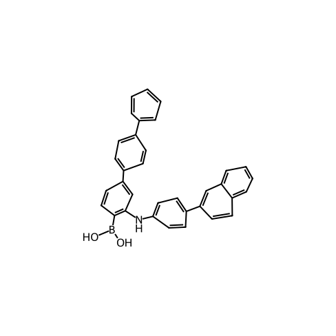 OB(O)c1ccc(-c2ccc(-c3ccccc3)cc2)cc1Nc1ccc(-c2ccc3ccccc3c2)cc1